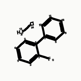 Fc1ccccc1-c1ccccc1.PCl